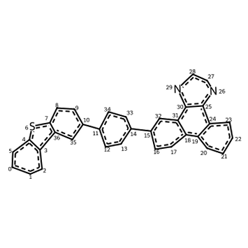 c1ccc2c(c1)sc1ccc(-c3ccc(-c4ccc5c6ccccc6c6nccnc6c5c4)cc3)cc12